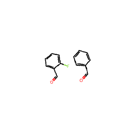 O=Cc1ccccc1.O=Cc1ccccc1F